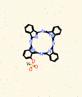 O=[S](=O)([V])Oc1cccc2c3nc4nc(nc5[nH]c(nc6nc(nc([nH]3)c12)-c1ccccc1-6)c1ccccc51)-c1ccccc1-4